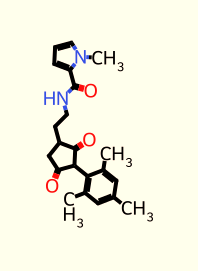 Cc1cc(C)c(C2C(=O)CC(CCNC(=O)c3cccn3C)C2=O)c(C)c1